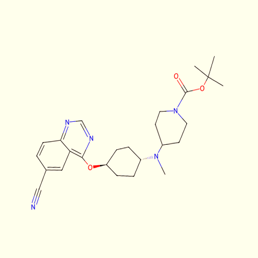 CN(C1CCN(C(=O)OC(C)(C)C)CC1)[C@H]1CC[C@H](Oc2ncnc3ccc(C#N)cc23)CC1